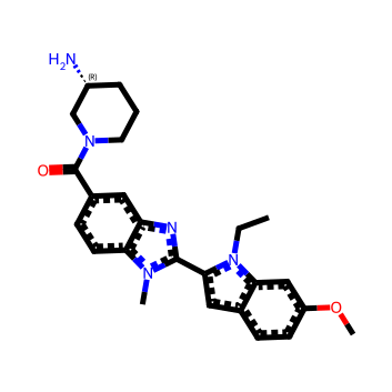 CCn1c(-c2nc3cc(C(=O)N4CCC[C@@H](N)C4)ccc3n2C)cc2ccc(OC)cc21